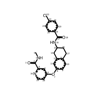 CNC(=O)c1cc(Oc2ccc3c(c2)CC(NC(=O)c2ccc(Cl)cc2)CC3)ccn1